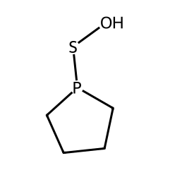 OSP1CCCC1